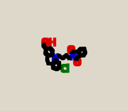 O=C1c2ccccc2C(=O)N1CCCCN1c2ccc(CO)cc2CCc2ccc(Cl)cc21